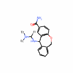 CCC(NC1c2ccccc2COc2ccc(C(N)=O)cc21)N(CC)CC